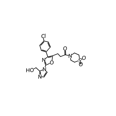 O=C(CCc1oc(-n2ccnc2CO)nc1-c1ccc(Cl)cc1)N1CCS(=O)(=O)CC1